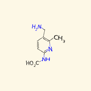 Cc1nc(NC(=O)O)ccc1CN